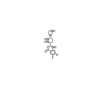 O=C1OC(C2CCC(N3CCNC3)NN2)Nc2cc(F)c(F)cc21